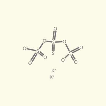 O=S(=O)([O-])OS(=O)(=S)OS(=O)(=O)[O-].[K+].[K+]